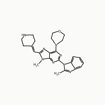 Cc1nc2ccccc2n1-c1nc(N2CCOCC2)c2nc(C=C3CCNCC3)n(C)c2n1